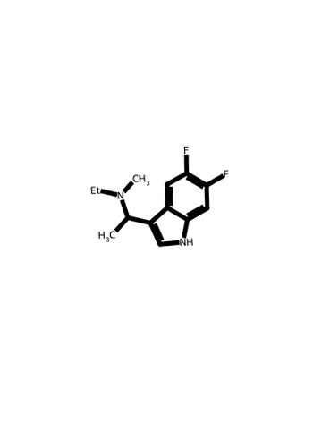 CCN(C)C(C)c1c[nH]c2cc(F)c(F)cc12